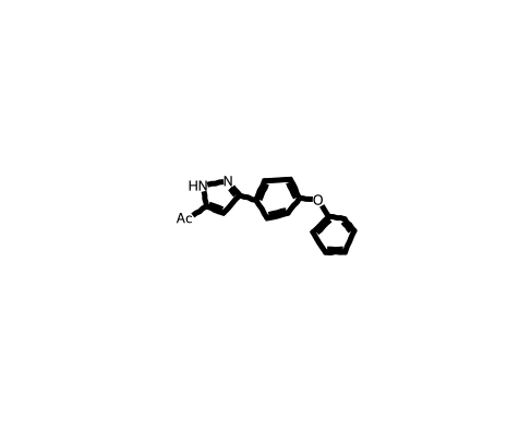 CC(=O)c1cc(-c2ccc(Oc3ccccc3)cc2)n[nH]1